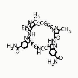 CCn1nc(C)c2c1C(=O)Nc1nc3cc(C(N)=O)ccc3n1CCNCCn1c(nc3cc(C(N)=O)ccc31)NC(=O)c1cc(C)nn1CCCCC2